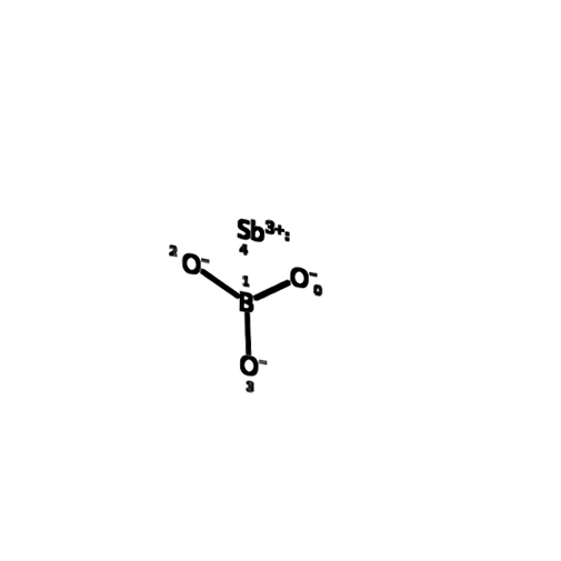 [O-]B([O-])[O-].[Sb+3]